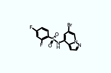 O=S(=O)(Nc1cc(Br)cn2nccc12)c1ccc(F)cc1F